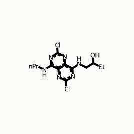 CCCNc1nc(Cl)nc2c(NCC(O)CC)nc(Cl)nc12